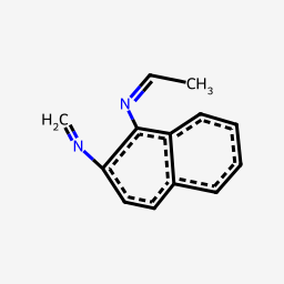 C=Nc1ccc2ccccc2c1/N=C\C